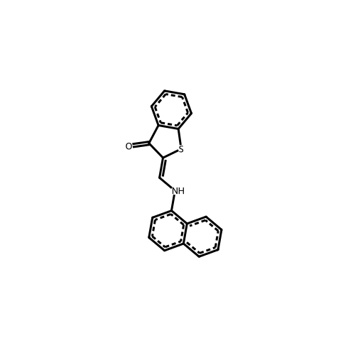 O=C1C(=CNc2cccc3ccccc23)Sc2ccccc21